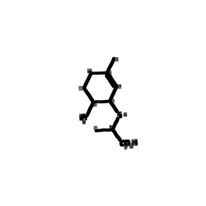 CC1=CC(SC(C)C(=O)O)C(C(C)C)CC1